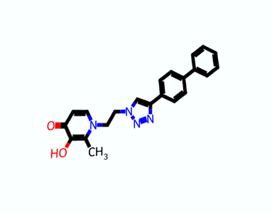 Cc1c(O)c(=O)ccn1CCn1cc(-c2ccc(-c3ccccc3)cc2)nn1